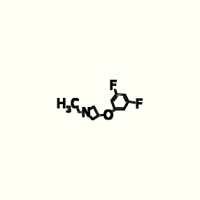 CCN1CC(Oc2cc(F)cc(F)c2)C1